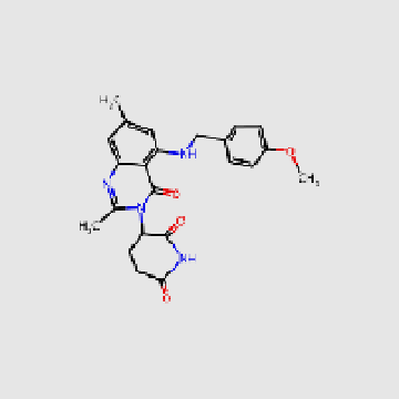 COc1ccc(CNc2cc(C)cc3nc(C)n(C4CCC(=O)NC4=O)c(=O)c23)cc1